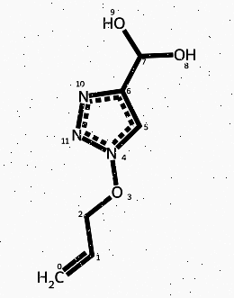 C=CCOn1cc(C(O)O)nn1